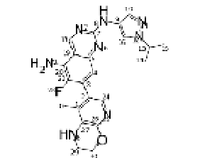 Cc1c(-c2cc3nc(Nc4cnn(C(C)C)c4)ncc3c(N)c2F)cnc2c1NCCO2